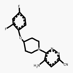 N#Cc1cc(N)c(N2CCC(Oc3ccc(F)cc3F)CC2)nn1